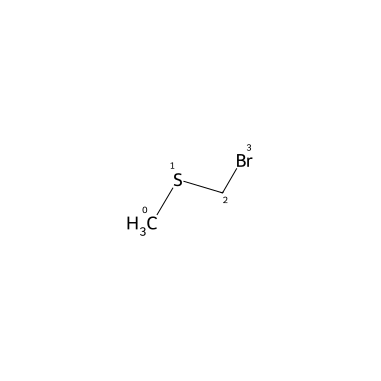 CSCBr